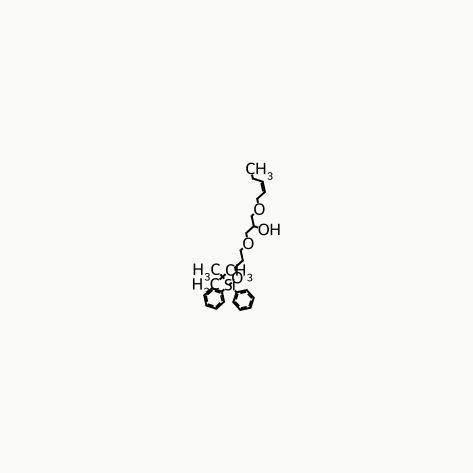 CC/C=C\COCC(O)COCCCO[Si](c1ccccc1)(c1ccccc1)C(C)(C)C